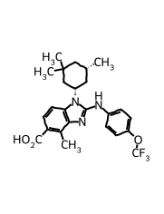 Cc1c(C(=O)O)ccc2c1nc(Nc1ccc(OC(F)(F)F)cc1)n2[C@H]1C[C@@H](C)CC(C)(C)C1